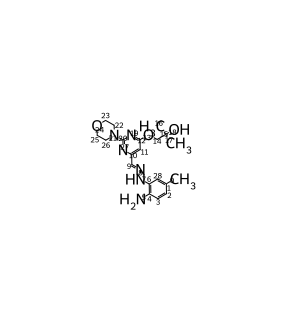 Cc1ccc(N)c(NN=Cc2cc(OCC(C)(C)O)nc(N3CCOCC3)n2)c1